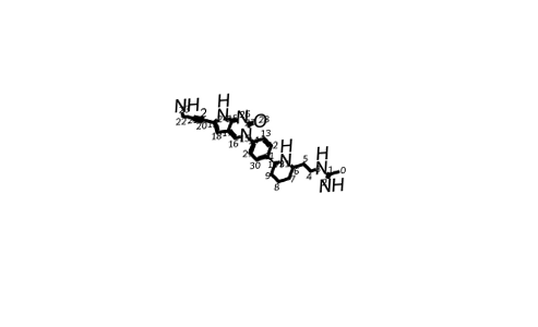 CC(=N)NCCC1CCC[C@@H](c2ccc(-n3cc4cc(C#CCN)[nH]c4nc3=O)cc2)N1